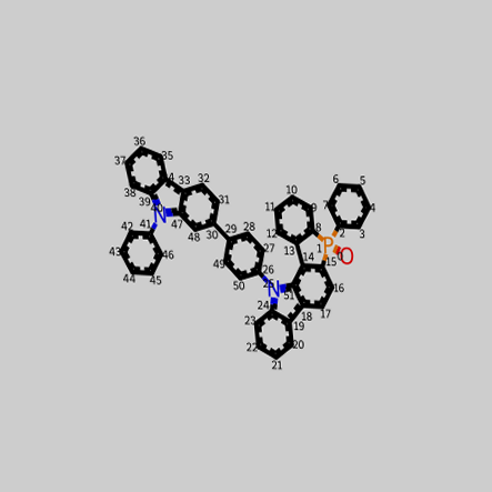 O=P1(c2ccccc2)c2ccccc2-c2c1ccc1c3ccccc3n(-c3ccc(-c4ccc5c6ccccc6n(-c6ccccc6)c5c4)cc3)c21